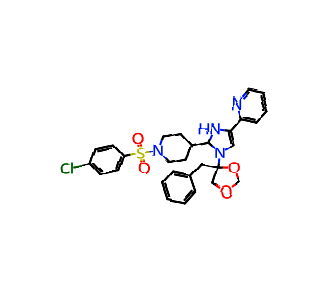 O=S(=O)(c1ccc(Cl)cc1)N1CCC(C2NC(c3ccccn3)=CN2C2(Cc3ccccc3)COCO2)CC1